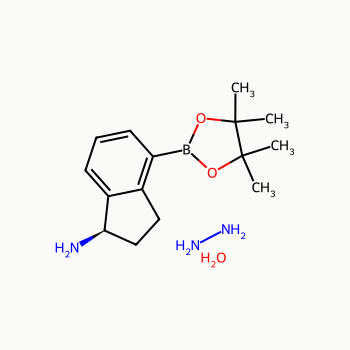 CC1(C)OB(c2cccc3c2CC[C@H]3N)OC1(C)C.NN.O